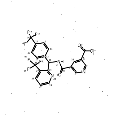 O=C(O)c1cncc(C(=O)NC(c2ccc(C(F)(F)F)cc2)c2ncccc2C(F)(F)F)c1